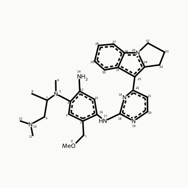 COCc1cc(N(C)C(C)CN(C)C)c(N)cc1Nc1nccc(-c2c3n(c4ccccc24)CCC3)n1